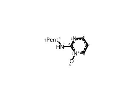 CCCCCNc1nccc[n+]1[O-]